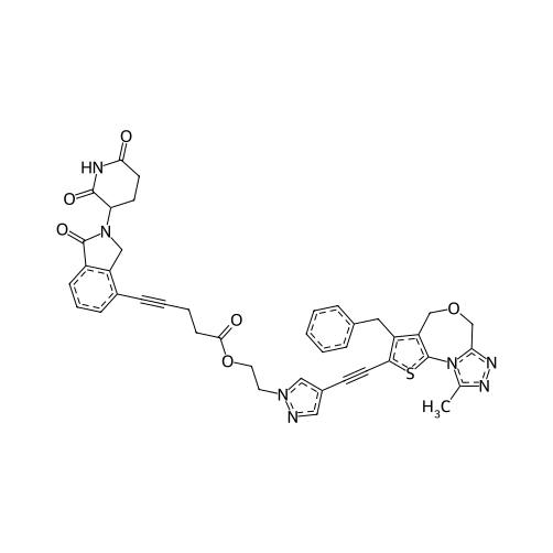 Cc1nnc2n1-c1sc(C#Cc3cnn(CCOC(=O)CCC#Cc4cccc5c4CN(C4CCC(=O)NC4=O)C5=O)c3)c(Cc3ccccc3)c1COC2